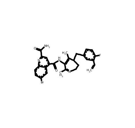 C=Cc1cc(CC2CCN=C(C)C(NC(=O)c3cc(C(N)=O)nc4ccc(Br)cc34)=C2C)ccc1F